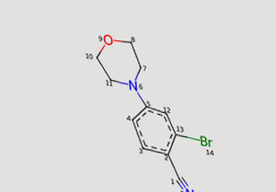 N#Cc1ccc(N2CCOCC2)cc1Br